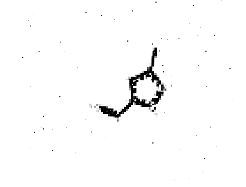 Cc1cc(C=O)sn1